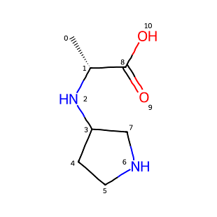 C[C@@H](NC1CCNC1)C(=O)O